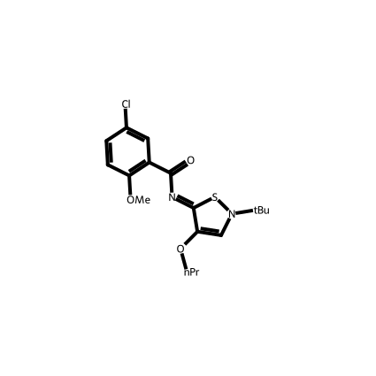 CCCOc1cn(C(C)(C)C)sc1=NC(=O)c1cc(Cl)ccc1OC